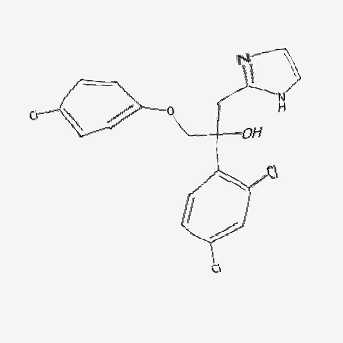 OC(COc1ccc(Cl)cc1)(Cc1ncc[nH]1)c1ccc(Cl)cc1Cl